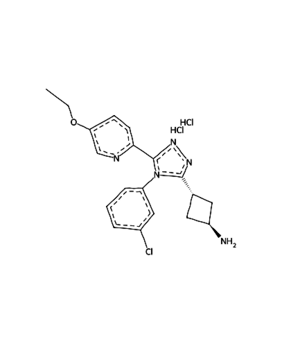 CCOc1ccc(-c2nnc([C@H]3C[C@H](N)C3)n2-c2cccc(Cl)c2)nc1.Cl.Cl